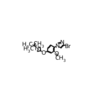 COc1cc(OC2CN(C(C)(C)C)C2)ccc1-n1cnc(Br)c1